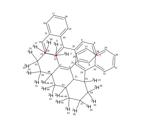 [2H]C1([2H])C2=C(c3ccccc3-c3cccc4ccccc34)C3C([2H])(c4cccc5ccccc45)C([2H])([2H])C([2H])([2H])C([2H])([2H])C3([2H])C([2H])([2H])C2([2H])C([2H])([2H])C([2H])([2H])C1([2H])[2H]